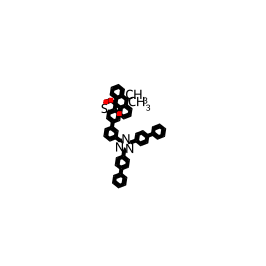 CC1(C)c2ccccc2C2(c3ccccc3Sc3cc(-c4cccc(-c5nc(-c6ccc(-c7ccccc7)cc6)nc(-c6ccc(-c7ccccc7)cc6)n5)c4)ccc32)c2ccccc21